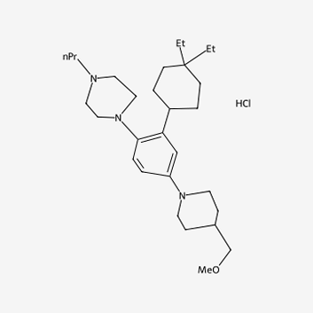 CCCN1CCN(c2ccc(N3CCC(COC)CC3)cc2C2CCC(CC)(CC)CC2)CC1.Cl